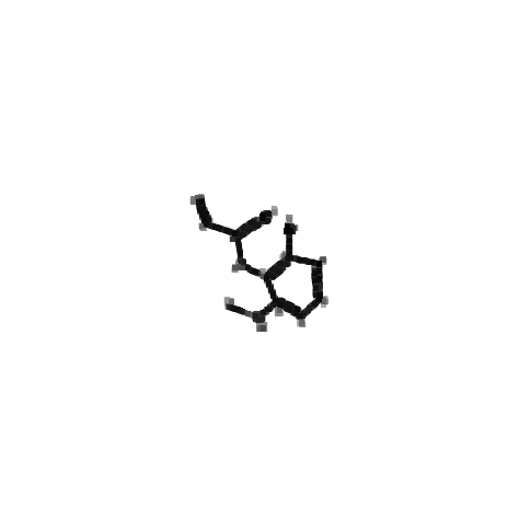 C=CC(=O)Oc1c(Br)cccc1OC